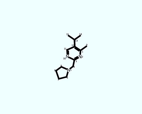 Cc1nc(CN2CCCC2)ncc1C(C)C